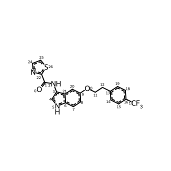 O=C(Nc1c[nH]c2ccc(OCCc3ccc(C(F)(F)F)cc3)cc12)c1nccs1